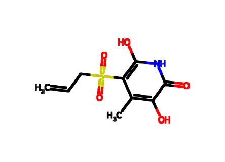 C=CCS(=O)(=O)c1c(O)[nH]c(=O)c(O)c1C